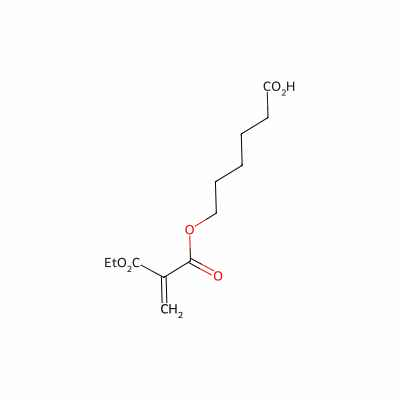 C=C(C(=O)OCC)C(=O)OCCCCCC(=O)O